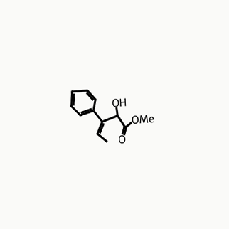 CC=C(c1ccccc1)C(O)C(=O)OC